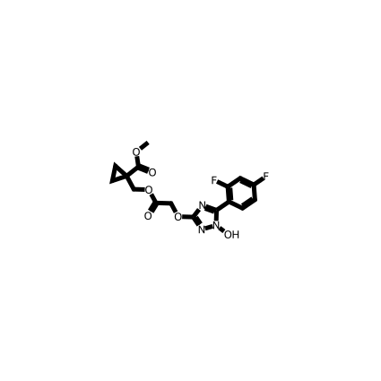 COC(=O)C1(COC(=O)COc2nc(-c3ccc(F)cc3F)n(O)n2)CC1